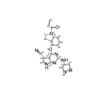 C=CC(=O)N1CCc2c(Oc3nc(Nc4cnn(C)c4)nc4[nH]cc(C#N)c34)cccc21